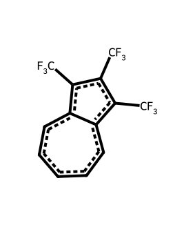 FC(F)(F)c1c2cccccc-2c(C(F)(F)F)c1C(F)(F)F